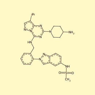 CC(C)c1cnn2c(NCc3ccccc3-n3cc4cc(NS(C)(=O)=O)ccc4n3)nc(N3CCC(N)CC3)nc12